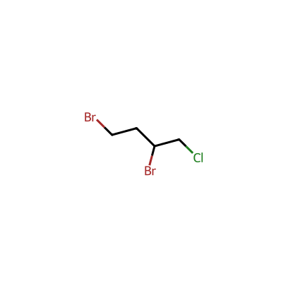 ClCC(Br)CCBr